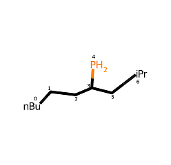 CCCCCCC(P)CC(C)C